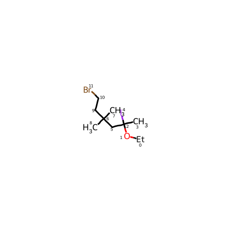 CCOC(C)(I)CC(C)(C)CCBr